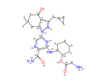 CC1(C)CC(=O)c2c(CC3CC3)nn(-c3cnc(C(N)=O)c(NC4CCCCC4OC(=O)CN)n3)c2C1